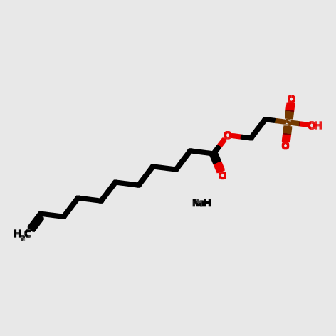 C=CCCCCCCCCC(=O)OCCS(=O)(=O)O.[NaH]